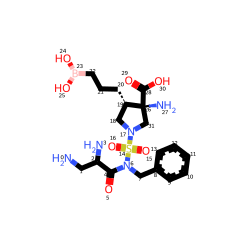 NCC(N)C(=O)N(Cc1ccccc1)S(=O)(=O)N1C[C@H](CCCB(O)O)[C@](N)(C(=O)O)C1